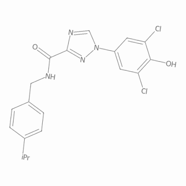 CC(C)c1ccc(CNC(=O)c2ncn(-c3cc(Cl)c(O)c(Cl)c3)n2)cc1